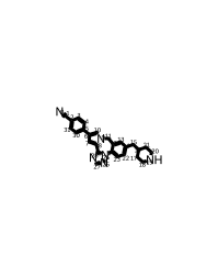 N#Cc1ccc(-c2cc3n(c2)Cc2cc(CC4CCNCC4)ccc2-n2ncnc2-3)cc1